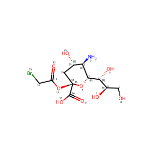 N[C@H]1[C@H]([C@H](O)[C@H](O)CO)O[C@](OC(=O)CBr)(C(=O)O)C[C@@H]1O